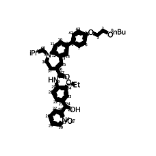 CCCCOCCOc1ccc(-c2ccc3c(c2)C=C(C(=O)Nc2ccc(C(O)c4cccc[n+]4[O-])cc2OCC)CCN3CC(C)C)cc1